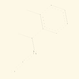 Cc1ccccc1C(I)N=C=O